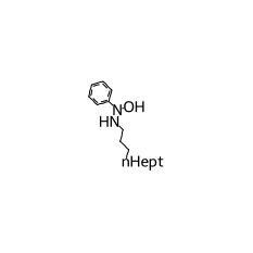 CCCCCCCCCCNN(O)c1ccccc1